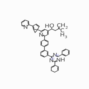 C=C(C)CC(O)c1cc(-c2ccc(-c3cccc(C(=N/C(=N)C4=CCCC=C4)/N=C/c4ccccc4)c3)cc2)nc(C23C=CC(c4ccccn4)=C2C3)c1